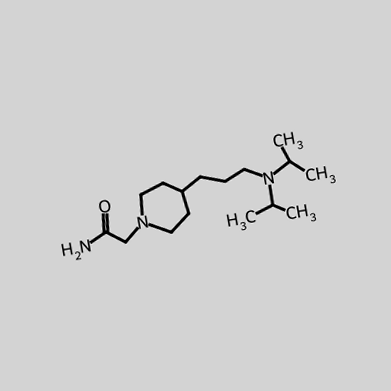 CC(C)N(CCCC1CCN(CC(N)=O)CC1)C(C)C